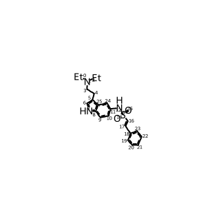 CCN(CC)CCc1c[nH]c2ccc(NS(=O)(=O)C=Cc3ccccc3)cc12